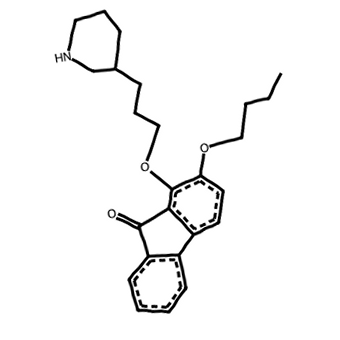 CCCCOc1ccc2c(c1OCCCC1CCCNC1)C(=O)c1ccccc1-2